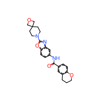 O=C(Nc1ccc2oc(N3CCC4(CC3)COC4)nc2c1)c1ccc2c(c1)CCCO2